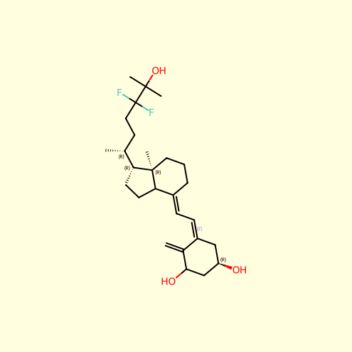 C=C1/C(=C\C=C2CCC[C@@]3(C)C2CC[C@@H]3[C@H](C)CCC(F)(F)C(C)(C)O)C[C@@H](O)CC1O